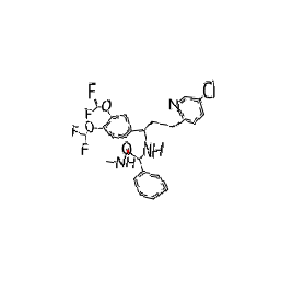 CNC(=O)[C@@H](N[C@H](CCc1ccc(Cl)cn1)c1ccc(OC(F)F)c(OC(F)F)c1)c1ccccc1